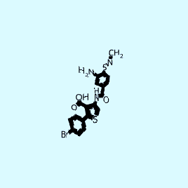 C=NSc1ccc(C(=O)Nc2csc(-c3ccc(Br)cc3)c2C(=O)O)cc1N